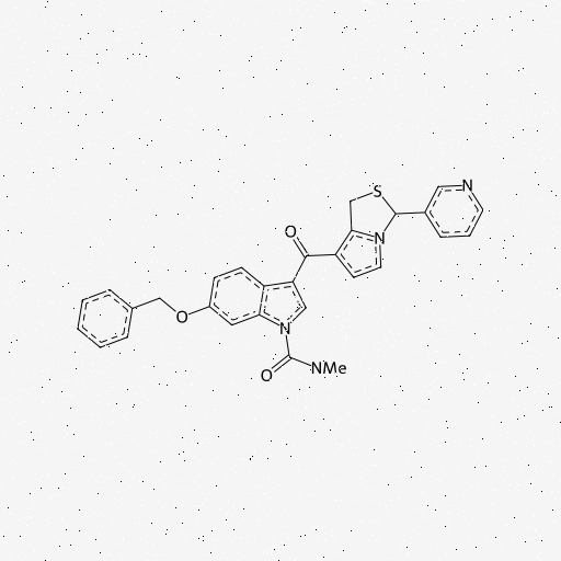 CNC(=O)n1cc(C(=O)c2ccn3c2CSC3c2cccnc2)c2ccc(OCc3ccccc3)cc21